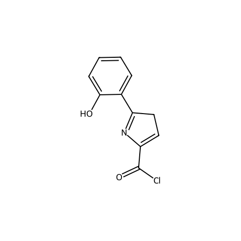 O=C(Cl)C1=CCC(c2ccccc2O)=N1